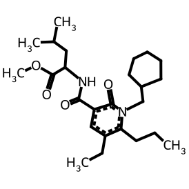 CCCc1c(CC)cc(C(=O)NC(CC(C)C)C(=O)OC)c(=O)n1CC1CCCCC1